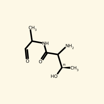 CC(C=O)NC(=O)C(N)[C@@H](C)O